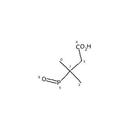 CC(C)(CC(=O)O)P=O